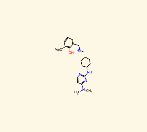 COc1cccc(CNC[C@H]2CC[C@@H](Nc3nccc(N(C)C)n3)CC2)c1O